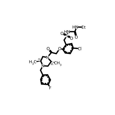 CCNC(=O)NS(=O)(=O)Cc1cc(Cl)ccc1OCC(=O)N1C[C@H](C)N(Cc2ccc(F)cc2)C[C@H]1C